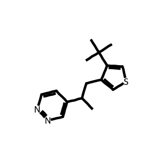 CC(Cc1cscc1C(C)(C)C)c1ccnnc1